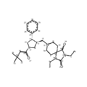 CCN1C(=O)N(CC)C2(CCN(C[C@H]3CN(C(=O)CC(C)(C)C)C[C@@H]3c3ccccc3)CC2)C1=O